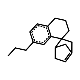 CCCc1ccc2c(c1)C1(CCC2)CC2=CCC1C2